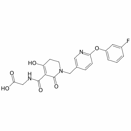 O=C(O)CNC(=O)C1=C(O)CCN(Cc2ccc(Oc3cccc(F)c3)nc2)C1=O